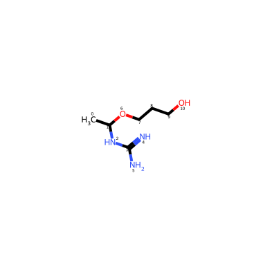 CC(NC(=N)N)OCCCO